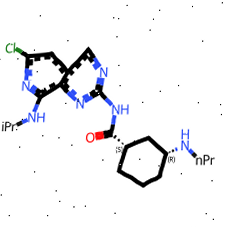 CCCN[C@@H]1CCC[C@H](C(=O)Nc2ncc3cc(Cl)nc(NC(C)C)c3n2)C1